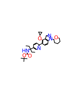 CCC(CC)(NC(=O)OC(C)(C)C)c1ccc(-c2ccc3c(cnn3C3CCCCO3)c2OC2CC2)nc1